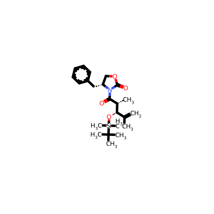 C=C(C)[C@H](O[Si](C)(C)C(C)(C)C)[C@@H](C)C(=O)N1C(=O)OC[C@H]1Cc1ccccc1